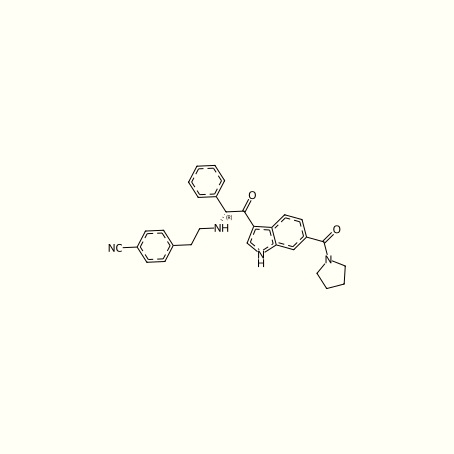 N#Cc1ccc(CCN[C@@H](C(=O)c2c[nH]c3cc(C(=O)N4CCCC4)ccc23)c2ccccc2)cc1